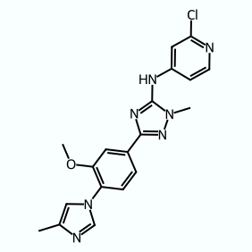 COc1cc(-c2nc(Nc3ccnc(Cl)c3)n(C)n2)ccc1-n1cnc(C)c1